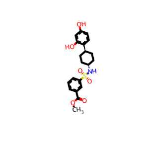 COC(=O)c1cccc(S(=O)(=O)N[C@H]2CC[C@H](c3ccc(O)cc3O)CC2)c1